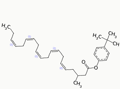 CC/C=C\C/C=C\C/C=C\C/C=C\C/C=C\CC(C)CC(=O)Oc1ccc(C(C)(C)C)cc1